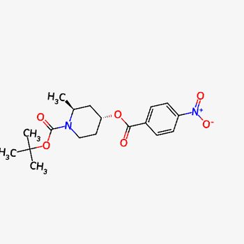 C[C@H]1C[C@H](OC(=O)c2ccc([N+](=O)[O-])cc2)CCN1C(=O)OC(C)(C)C